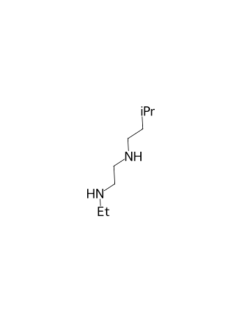 CCNCCNCCC(C)C